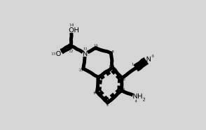 N#Cc1c(N)ccc2c1CCN(C(=O)O)C2